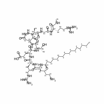 CCCCCCCCCCCCCCCC(=O)N[C@@H](CCCCN)C(=O)N[C@@H](CCCNC(=N)N)C(=O)N[C@@H](CCC(=O)O)C(=O)N[C@H](C(=O)N[C@H]1CC(=O)NNN([C@@H](C)C(=O)NCC(=O)N[C@@H](CCCNC(=N)N)C(=O)NC)C1=O)[C@@H](C)O